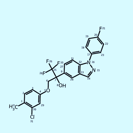 Cc1ccc(OCC(O)(c2ccc3c(cnn3-c3ccc(F)cc3)c2)C(F)(F)F)cc1Cl